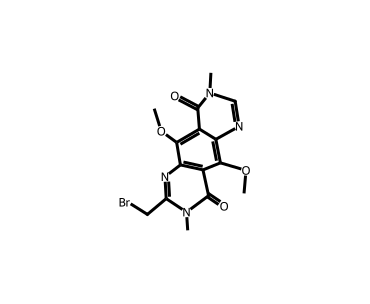 COc1c2nc(CBr)n(C)c(=O)c2c(OC)c2ncn(C)c(=O)c12